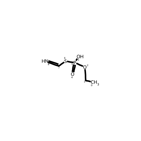 CCOP(=O)(O)SC=N